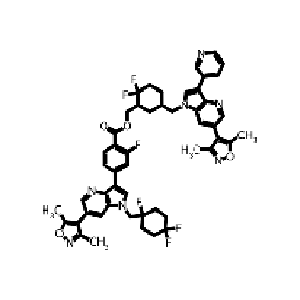 Cc1noc(C)c1-c1cnc2c(-c3cccnc3)cn(CC3CCC(F)(F)C(COC(=O)c4ccc(-c5cn(CC6(F)CCC(F)(F)CC6)c6cc(-c7c(C)noc7C)cnc56)cc4F)C3)c2c1